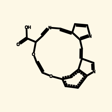 O=C(O)C1C=NC=C2C=CN=C2C=C2C=Nc3ccc(cc32)OC=CO1